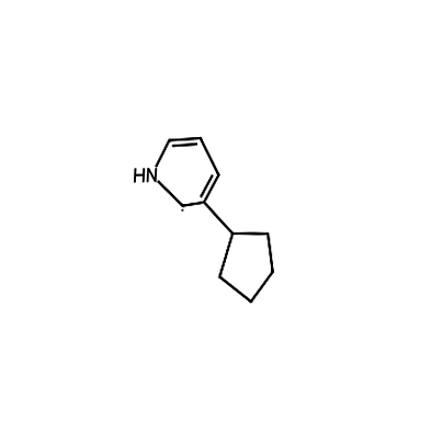 [CH]1NC=CC=C1C1CCCC1